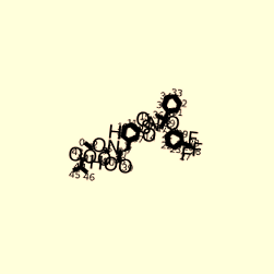 CC(OC(=O)N[C@@H](Cc1cccc(S(=O)(=O)N2CC(Oc3cccc(C(F)(F)F)c3)(c3ccccc3)C2)c1)C(=O)O)OC(=O)C(C)C